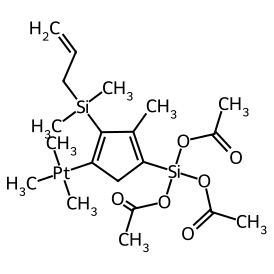 C=CC[Si](C)(C)C1=[C]([Pt]([CH3])([CH3])[CH3])CC([Si](OC(C)=O)(OC(C)=O)OC(C)=O)=C1C